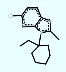 CCC1(n2c(C)nc3ccc(O)nc32)CCCCC1